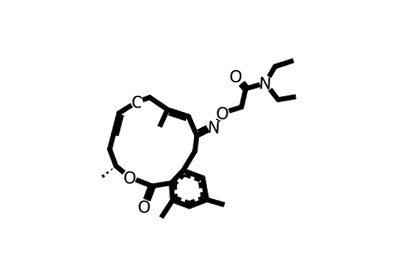 CCN(CC)C(=O)CO/N=C1\C=C(/C)CC/C=C/C[C@@H](C)OC(=O)c2c(C)cc(C)cc2C1